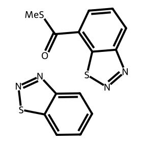 CSC(=O)c1cccc2nnsc12.c1ccc2snnc2c1